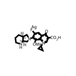 COc1c(N2C[C@@H]3CCCN[C@@H]3C2)c(F)cc2c(=O)c(C(=O)O)cn(C3CC3)c12.[Ag]